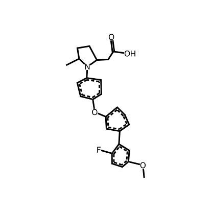 COc1ccc(F)c(-c2cccc(Oc3ccc(N4C(C)CCC4CC(=O)O)cc3)c2)c1